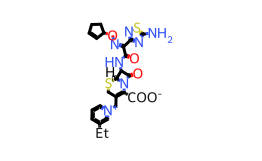 CCc1ccc[n+](CC2=C(C(=O)[O-])N3C(=O)C(NC(=O)C(=NOC4C=CCC4)c4nsc(N)n4)[C@@H]3SC2)c1